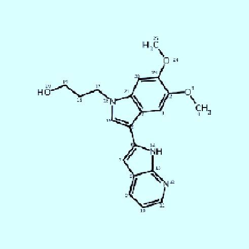 COc1cc2c(-c3cc4cccnc4[nH]3)cn(CCCO)c2cc1OC